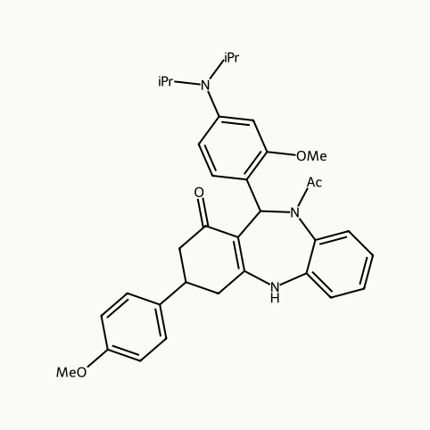 COc1ccc(C2CC(=O)C3=C(C2)Nc2ccccc2N(C(C)=O)C3c2ccc(N(C(C)C)C(C)C)cc2OC)cc1